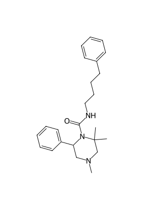 CN1CC(c2ccccc2)N(C(=O)NCCCCc2ccccc2)C(C)(C)C1